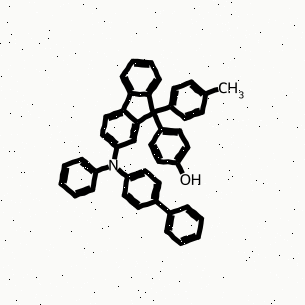 Cc1ccc(C2(c3ccc(O)cc3)c3ccccc3-c3ccc(N(c4ccccc4)c4ccc(-c5ccccc5)cc4)cc32)cc1